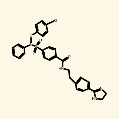 O=C(NCCc1ccc(C2=NCCN2)cc1)c1ccc(S(=O)(=O)N(Oc2ccc(Cl)cc2)c2ccccc2)cc1